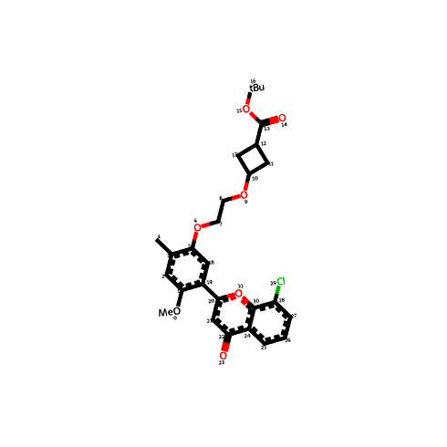 COc1cc(C)c(OCCOC2CC(C(=O)OC(C)(C)C)C2)cc1-c1cc(=O)c2cccc(Cl)c2o1